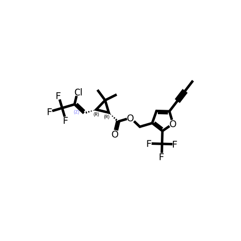 CC#Cc1cc(COC(=O)[C@@H]2[C@H](/C=C(\Cl)C(F)(F)F)C2(C)C)c(C(F)(F)F)o1